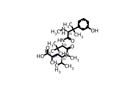 CN[C@H](C(=O)N[C@H](C(=O)N(C)[C@H](/C=C(\C)C(=O)O)C(C)C)C(C)(C)C)C(C)(C)c1cccc(O)c1